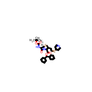 CC(C)(C)OC(=O)N[C@@H]1C(=O)N2C(C(=O)OC(c3ccccc3)c3ccccc3)=C(C=CSc3ccncc3)CS[C@@H]12